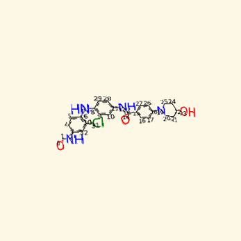 O=CNc1ccc(Nc2ccc(NC(=O)c3ccc(N4CCC(O)CC4)cc3)cc2)c(Cl)c1